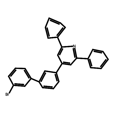 Brc1cccc(-c2cccc(-c3cc(-c4ccccc4)nc(-c4ccccc4)c3)c2)c1